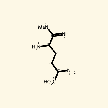 CNC(=N)C(N)CCC(N)C(=O)O